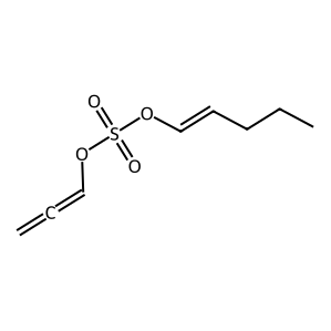 C=C=COS(=O)(=O)OC=CCCC